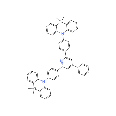 C[Si]1(C)c2ccccc2N(c2ccc(-c3cc(-c4ccccc4)cc(-c4ccc(N5c6ccccc6[Si](C)(C)c6ccccc65)cc4)n3)cc2)c2ccccc21